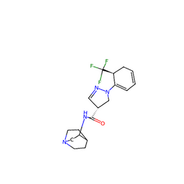 O=C(NC1CN2CCC1CC2)[C@@H]1C=NN(C2=CC=CC[C@@H]2C(F)(F)F)C1